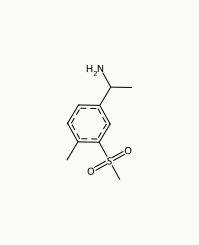 Cc1ccc(C(C)N)cc1S(C)(=O)=O